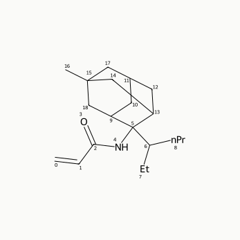 C=CC(=O)NC1(C(CC)CCC)C2CC3CC1CC(C)(C3)C2